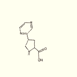 O=C(O)C1CC(c2cnccn2)CN1